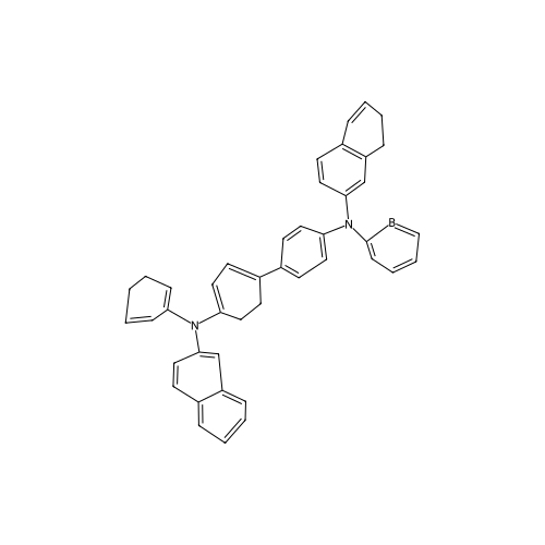 b1ccccc1N(c1ccc(C2=CC=C(N(C3=CCCC=C3)c3ccc4ccccc4c3)CC2)cc1)c1ccc2c(c1)CCC=C2